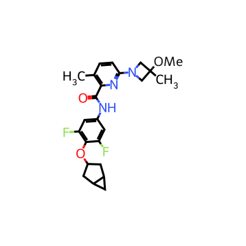 COC1(C)CN(c2ccc(C)c(C(=O)Nc3cc(F)c(OC4CC5CC5C4)c(F)c3)n2)C1